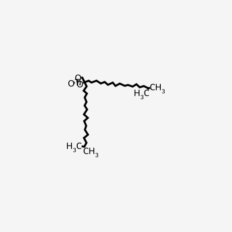 CC(C)CCCCCCCCCCCCCCCC1(CCCCCCCCCCCCCCCC(C)C)C[O][Ti](=[O])[O]1